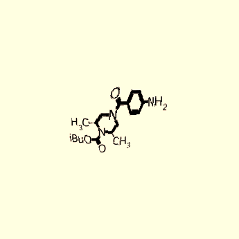 CC(C)COC(=O)N1[C@H](C)CN(C(=O)c2ccc(N)cc2)C[C@@H]1C